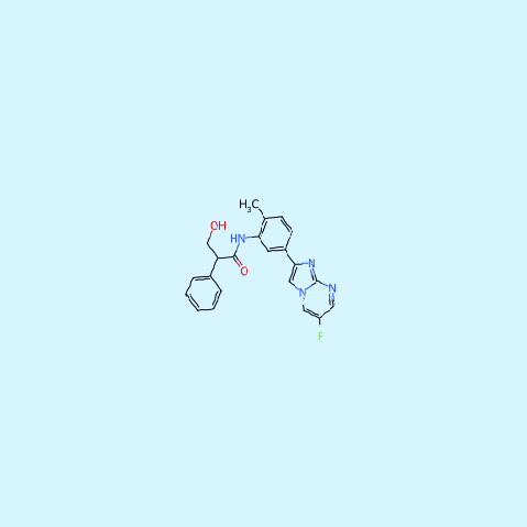 Cc1ccc(-c2cn3cc(F)cnc3n2)cc1NC(=O)C(CO)c1ccccc1